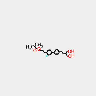 C=C(C)C(=O)OCCCc1ccc(-c2ccc(CCC(CO)CO)cc2)cc1F